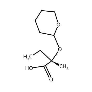 CC[C@](C)(OC1CCCCO1)C(=O)O